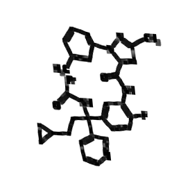 Cc1cccc(-n2nc(C)cc2C(=O)Nc2cc(C(CCC3CC3)(NC(=O)C(C)C)c3cccnc3)ccc2F)c1